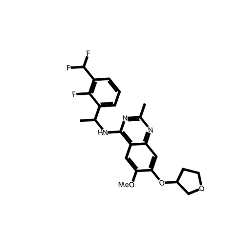 COc1cc2c(NC(C)c3cccc(C(F)F)c3F)nc(C)nc2cc1OC1CCOC1